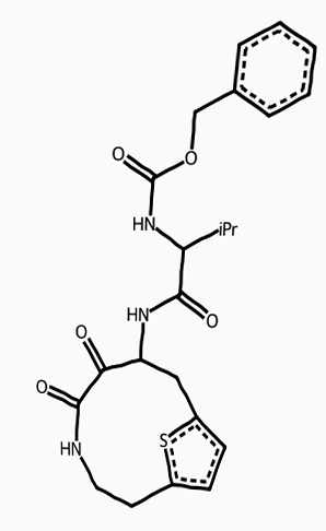 CC(C)C(NC(=O)OCc1ccccc1)C(=O)NC1Cc2ccc(s2)CCNC(=O)C1=O